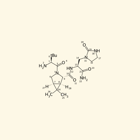 CC(C)(C)[C@H](N)C(=O)N1C[C@H]2[C@@H]([C@H]1C(=O)N[C@@H](CN1CCNC1=O)C(N)=O)C2(C)C